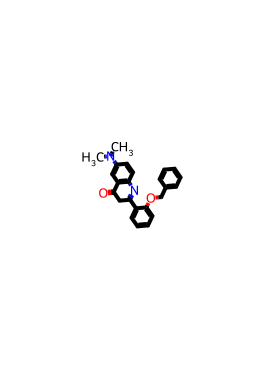 CN(C)c1ccc2c(c1)C(=O)CC(c1ccccc1OCc1ccccc1)=N2